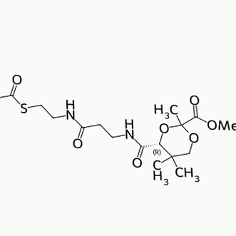 COC(=O)C1(C)OCC(C)(C)[C@H](C(=O)NCCC(=O)NCCSC(=O)C(C)=O)O1